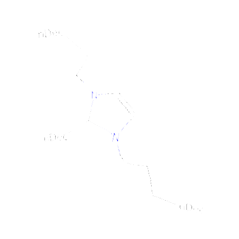 CCCCCCCCCCCCCN1C=CN(CCCCCCCCCCCC)C1CCCCCCCCCC